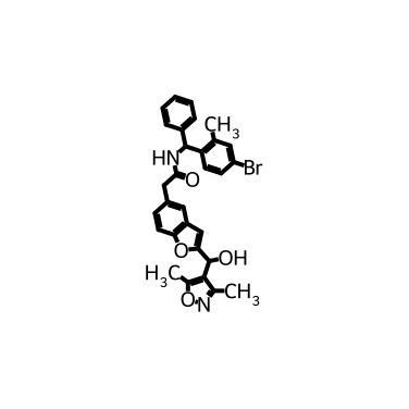 Cc1cc(Br)ccc1C(NC(=O)Cc1ccc2oc(C(O)c3c(C)noc3C)cc2c1)c1ccccc1